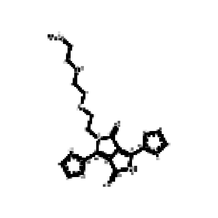 COCCOCCOCCN1C(=O)C2=C(c3cccs3)NC(=O)C2=C1c1cccs1